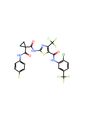 O=C(Nc1cc(C(F)(F)F)ccc1Cl)c1sc(NC(=O)C2(C(=O)Nc3ccc(F)cc3)CC2)nc1C(F)(F)F